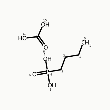 CCCCP(=O)(O)O.O=C(O)O